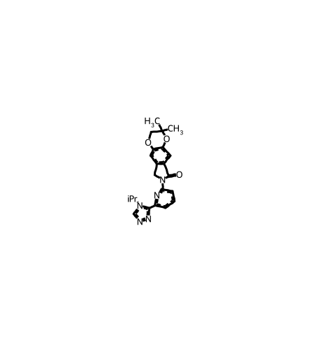 CC(C)n1cnnc1-c1cccc(N2Cc3cc4c(cc3C2=O)OC(C)(C)CO4)n1